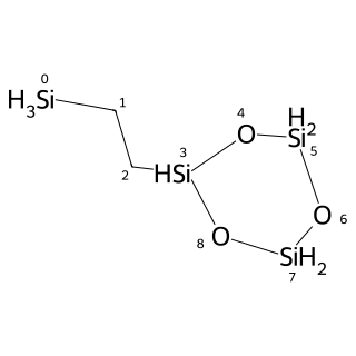 [SiH3]CC[SiH]1O[SiH2]O[SiH2]O1